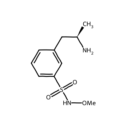 CONS(=O)(=O)c1cccc(C[C@@H](C)N)c1